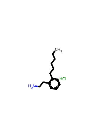 CCCCCCc1ccccc1CCN.Cl